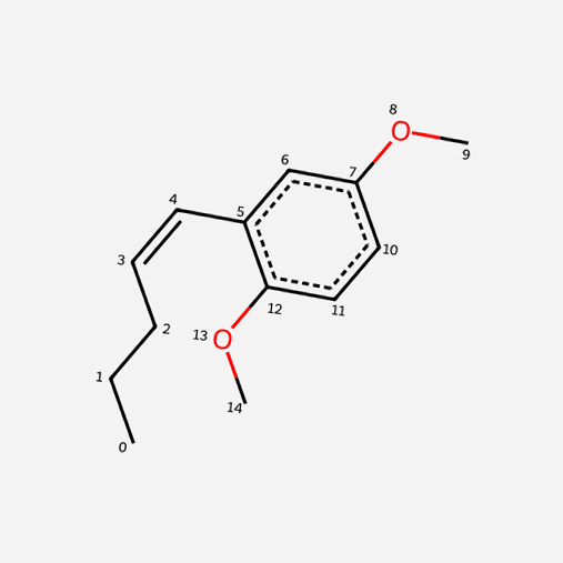 CCC/C=C\c1cc(OC)ccc1OC